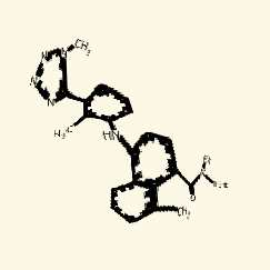 CCN(CC)C(=O)c1ccc(Nc2cccc(-c3nnnn3C)c2C)c2cccc(C)c12